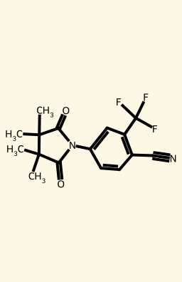 CC1(C)C(=O)N(c2ccc(C#N)c(C(F)(F)F)c2)C(=O)C1(C)C